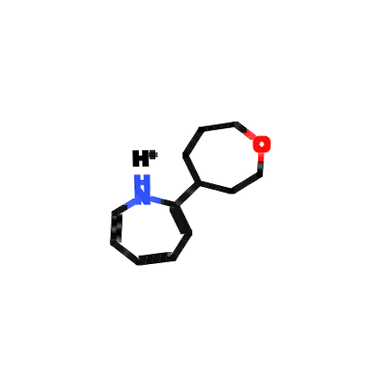 C1=CC=C(C2CCCOCC2)NC=C1.[H+]